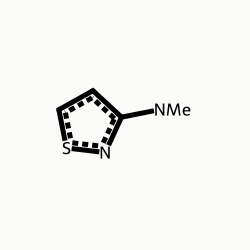 CNc1ccsn1